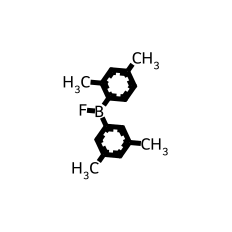 Cc1cc(C)cc(B(F)c2ccc(C)cc2C)c1